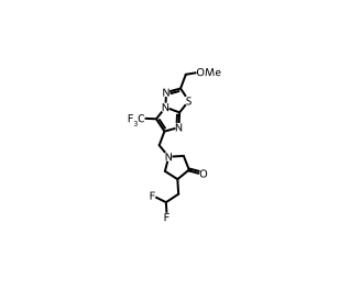 COCc1nn2c(C(F)(F)F)c(CN3CC(=O)C(CC(F)F)C3)nc2s1